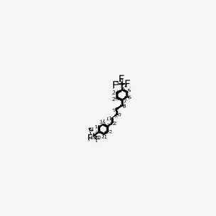 FC(F)(F)c1ccc(C=CCC=Cc2ccc(C(F)(F)F)cc2)cc1